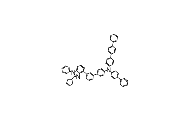 C1=CCC(c2nc3c(-c4cccc(-c5ccc(N(c6ccc(-c7ccccc7)cc6)c6ccc(-c7ccc(-c8ccccc8)cc7)cc6)cc5)c4)cccc3n2-c2ccccc2)=C1